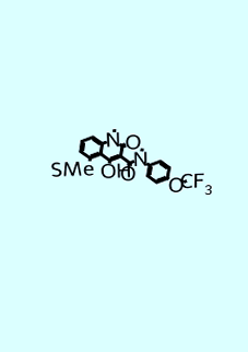 CSc1cccc2c1c(O)c(C(=O)N(C)c1ccc(OC(F)(F)F)cc1)c(=O)n2C